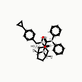 CN(Cc1ccc(C2CC2)cc1)C(=O)N1[C@H]2CC[C@@H]1[C@@H](C(=O)O)N(C(=O)N(c1ccccc1)c1ccccc1)C2